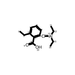 CCc1ccccc1C(=O)O.C[CH2][Al]([Cl])[CH2]C